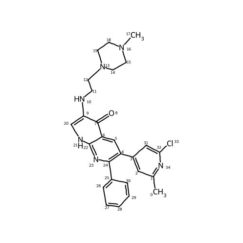 Cc1cc(-c2cc3c(=O)c(NCCN4CCN(C)CC4)c[nH]c3nc2-c2ccccc2)cc(Cl)n1